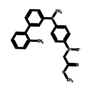 COC(=O)C[S+]([O-])c1ccc(N(C)c2cccc(-c3ccccc3C)c2)cc1